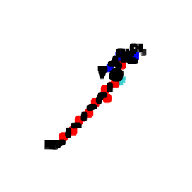 C#CCOCCOCCOCCOCCOCCC(=O)OCCOc1cc2c(cc1F)c(=O)c(CN(C)Cc1ccnc(C)c1)cn2C1CC1